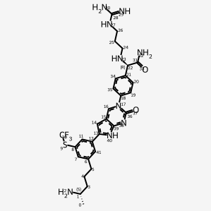 C[C@H](N)CCCc1cc(SC(F)(F)F)cc(-c2cc3cn(-c4ccc([C@@H](NCCCNC(=N)N)C(N)=O)cc4)c(=O)nc3[nH]2)c1